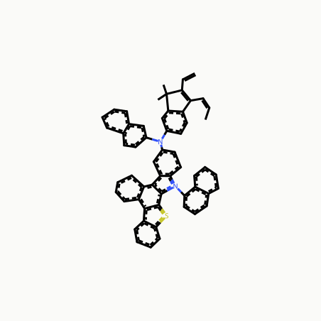 C=CC1=C(/C=C\C)c2ccc(N(c3ccc4ccccc4c3)c3ccc4c(c3)c3c5ccccc5c5c6ccccc6sc5c3n4-c3cccc4ccccc34)cc2C1(C)C